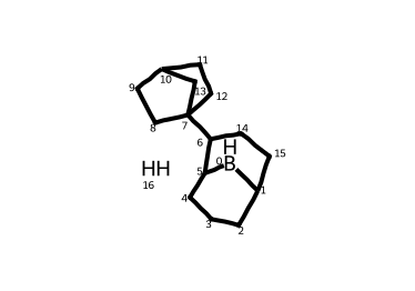 B1C2CCCC1C(C13CCC(CC1)C3)CC2.[HH]